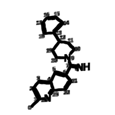 Cc1ccc2cc(C(=N)N3CCC(c4ccccc4)CC3)ccc2n1